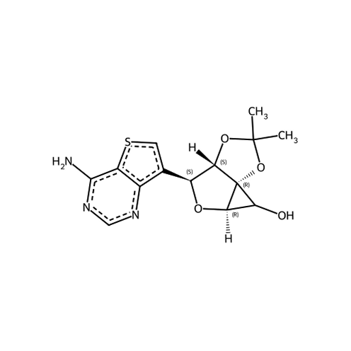 CC1(C)O[C@H]2[C@H](c3csc4c(N)ncnc34)O[C@@H]3C(O)[C@@]32O1